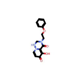 O=C1c2c(O)c(=O)ccn2NCN1CCOc1ccccc1